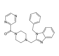 O=C(c1cnccn1)N1CCN(Cc2nc3ccccc3n2Cc2ccccc2)CC1